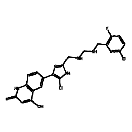 O=c1cc(O)c2cc(-c3nc(CNCNCc4cc(Cl)ccc4F)[nH]c3Cl)ccc2[nH]1